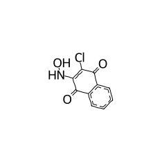 O=C1C(Cl)=C(NO)C(=O)c2ccccc21